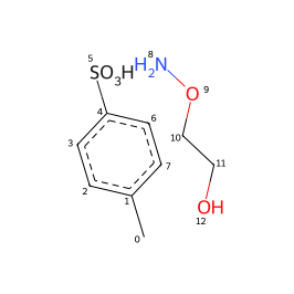 Cc1ccc(S(=O)(=O)O)cc1.NOCCO